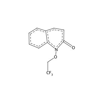 O=c1ccc2ccccc2n1OCC(F)(F)F